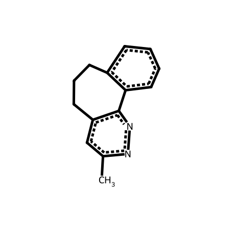 Cc1cc2c(nn1)-c1ccccc1CCC2